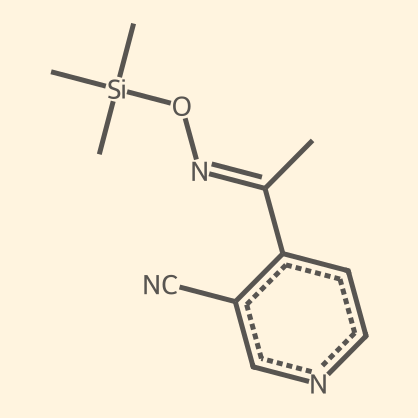 CC(=NO[Si](C)(C)C)c1ccncc1C#N